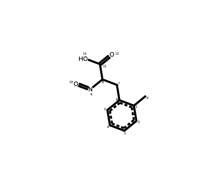 Cc1ccccc1CC(N=O)C(=O)O